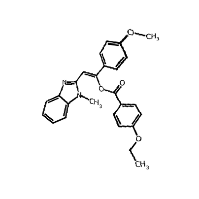 CCOc1ccc(C(=O)OC(=Cc2nc3ccccc3n2C)c2ccc(OC)cc2)cc1